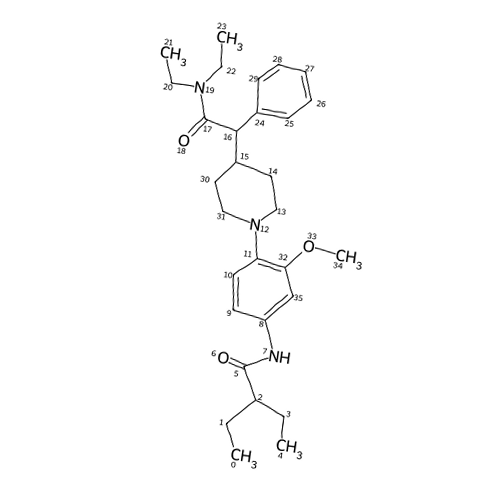 CCC(CC)C(=O)Nc1ccc(N2CCC(C(C(=O)N(CC)CC)c3ccccc3)CC2)c(OC)c1